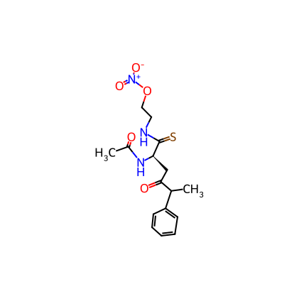 CC(=O)N[C@H](CC(=O)C(C)c1ccccc1)C(=S)NCCO[N+](=O)[O-]